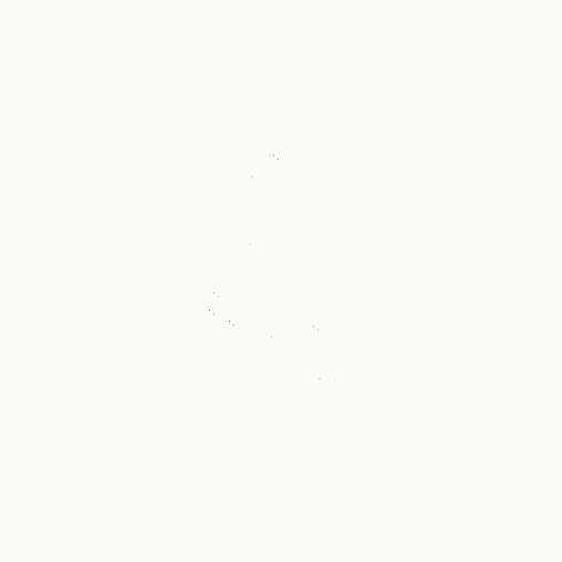 COC(=O)CC1CN(c2ccc(-c3nnn(C)c3COC(=O)Oc3ccc([N+](=O)[O-])cc3)nc2C)CC(F)(F)C1